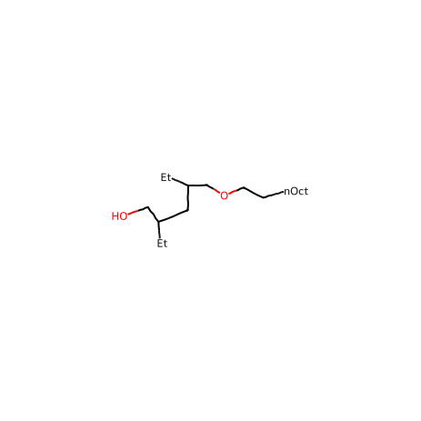 CCCCCCCCCCOCC(CC)CC(CC)CO